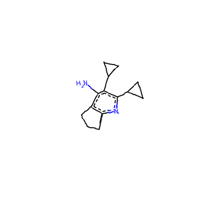 Nc1c2c(nc(C3CC3)c1C1CC1)CCC2